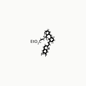 CCOC(=O)CCSC1Oc2c(C=Cc3ccc4cc(F)c(F)cc4n3)cccc2Cc2cccnc21